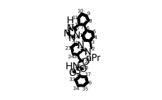 CCCN(Cc1ccc(-c2ccccc2-c2nnn[nH]2)cc1)c1ncccc1C(=O)NS(=O)(=O)c1ccccc1